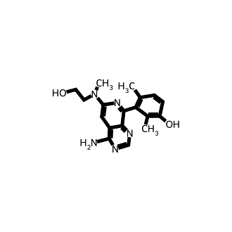 Cc1ccc(O)c(C)c1-c1nc(N(C)CCO)cc2c(N)ncnc12